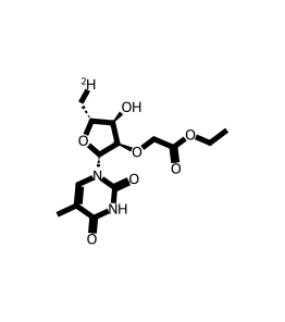 [2H]C[C@H]1O[C@@H](n2cc(C)c(=O)[nH]c2=O)[C@H](OCC(=O)OCC)[C@@H]1O